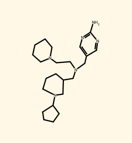 Nc1ncc(CN(CCN2CCCCC2)CC2CCCN(C3CCCC3)C2)cn1